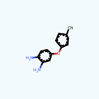 N#Cc1ccc(Oc2ccc(N)c(N)c2)cc1